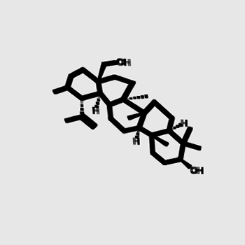 C=C(C)[C@@H]1C(C)CC[C@]2(CO)CC[C@]3(C)C(CC[C@@H]4[C@@]5(C)CC[C@H](O)C(C)(C)[C@@H]5CC[C@]43C)[C@@H]12